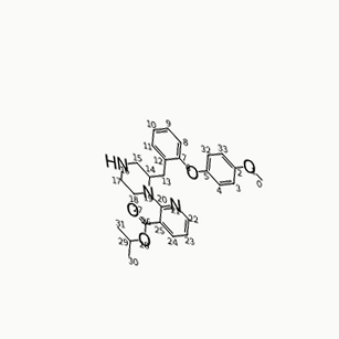 COc1ccc(Oc2ccccc2CC2CNCCN2c2ncccc2C(=O)OC(C)C)cc1